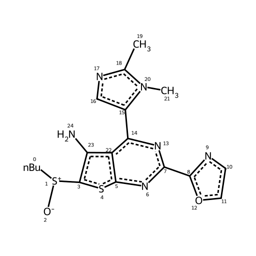 CCCC[S+]([O-])c1sc2nc(-c3ncco3)nc(-c3cnc(C)n3C)c2c1N